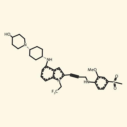 COc1cc(S(C)(=O)=O)ccc1NCC#Cc1cc2c(N[C@H]3CC[C@@H](N4CCC(O)CC4)CC3)cccc2n1CC(F)(F)F